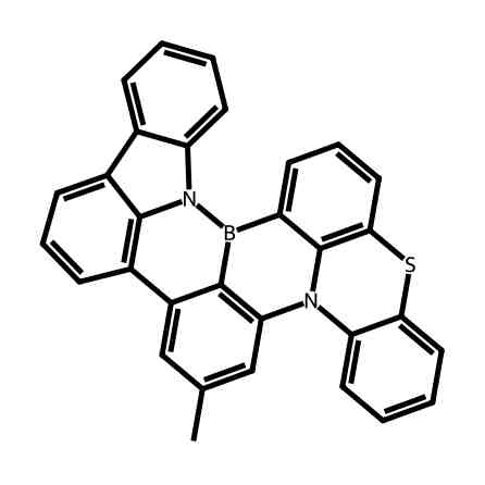 Cc1cc2c3c(c1)N1c4ccccc4Sc4cccc(c41)B3n1c3ccccc3c3cccc-2c31